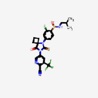 CC(C)CN[S+]([O-])c1ccc(N2C(=S)N(c3cnc(C#N)c(C(F)(F)F)c3)C(=O)C23CCC3)cc1F